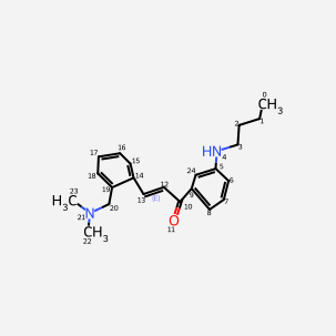 CCCCNc1cccc(C(=O)/C=C/c2ccccc2CN(C)C)c1